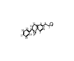 CN1c2ccc(CC=O)cc2CCC1c1ccccc1